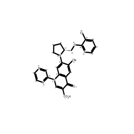 N#Cc1cc2c(=O)c(C(=O)O)cn(-c3cnccn3)c2cc1N1CCC[C@@H]1COc1ncccc1Cl